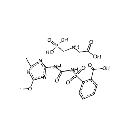 COc1nc(C)nc(NC(=O)NS(=O)(=O)c2ccccc2C(=O)O)n1.O=C(O)CNCP(=O)(O)O